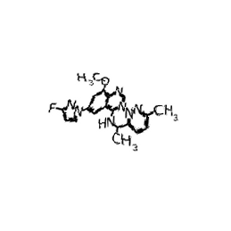 COc1cc(-n2ccc(F)n2)cc2c(NC(C)c3ccc(C)nn3)ncnc12